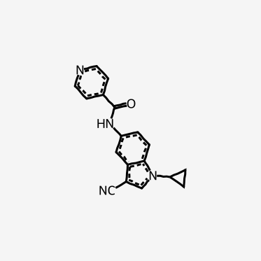 N#Cc1cn(C2CC2)c2ccc(NC(=O)c3ccncc3)cc12